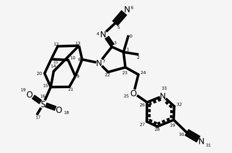 CC1(C)C(=NC#N)N(C2C3CC4CC2CC(S(C)(=O)=O)(C4)C3)CC1COc1ccc(C#N)cn1